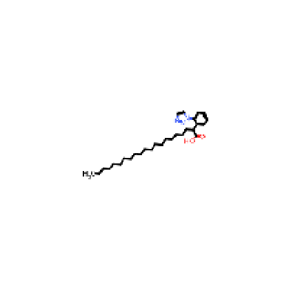 CCCCCCCCCCCCCCCCCCCC(C(=O)O)c1ccccc1-n1ccnn1